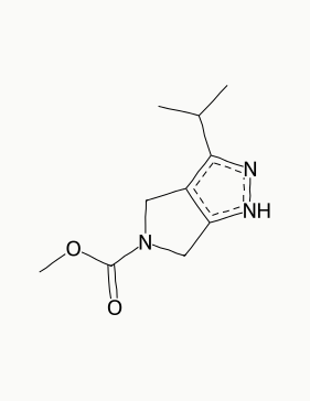 COC(=O)N1Cc2[nH]nc(C(C)C)c2C1